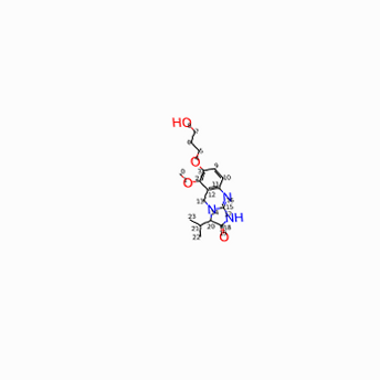 COc1c(OCCCO)ccc2c1CN1C(=N2)NC(=O)C1C(C)C